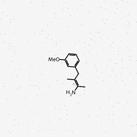 COc1cccc(C/C(C)=C(\C)N)c1